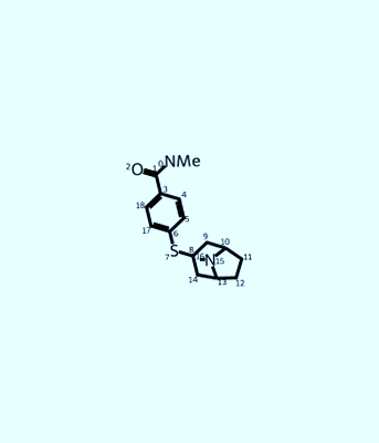 CNC(=O)c1ccc(SC2CC3CCC(C2)N3C)cc1